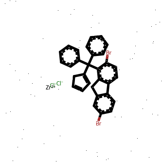 Brc1ccc2c(c1)Cc1c-2ccc(Br)c1C(C1=CC=CC1)(c1ccccc1)c1ccccc1.[Cl-].[Cl-].[Zr+2]